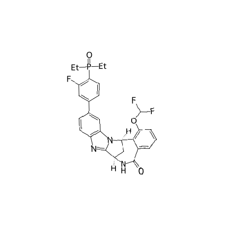 CCP(=O)(CC)c1ccc(-c2ccc3nc4n(c3c2)[C@@H]2C[C@H]4NC(=O)c3cccc(OC(F)F)c32)cc1F